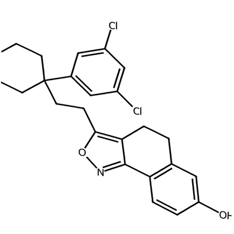 Oc1ccc2c(c1)CCc1c-2noc1CCC1(c2cc(Cl)cc(Cl)c2)CCCCC1